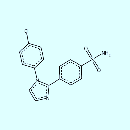 NS(=O)(=O)c1ccc(-c2nccn2-c2ccc(Cl)cc2)cc1